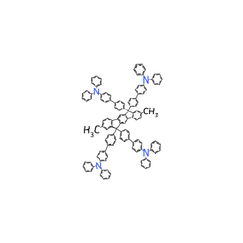 Cc1ccc2c(c1)C(c1ccc(-c3ccc(N(c4ccccc4)c4ccccc4)cc3)cc1)(c1ccc(-c3ccc(N(c4ccccc4)c4ccccc4)cc3)cc1)c1cc3c(cc1-2)C(c1ccc(-c2ccc(N(c4ccccc4)c4ccccc4)cc2)cc1)(c1ccc(-c2ccc(N(c4ccccc4)c4ccccc4)cc2)cc1)c1cc(C)ccc1-3